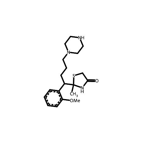 COc1ccccc1C(CCCN1CCNCC1)C1(C)NC(=O)CS1